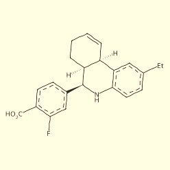 CCc1ccc2c(c1)[C@@H]1C=CCC[C@@H]1[C@H](c1ccc(C(=O)O)c(F)c1)N2